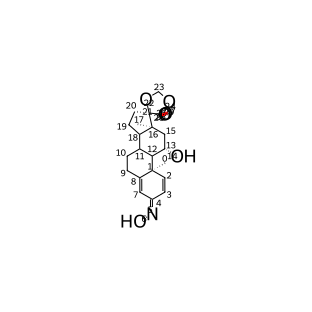 C[C@]12C=CC(=NO)C=C1CCC1C2[C@@H](O)C[C@@]2(C)C1CC[C@@]21OCOC12COCO2